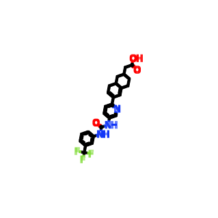 O=C(O)CC1CCC2=CC(c3ccc(NC(=O)Nc4cccc(C(F)(F)F)c4)cn3)=CCC2C1